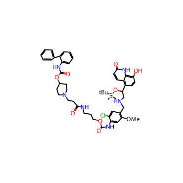 COc1cc(NC(=O)OCCCNC(=O)CCN2CCC(OC(=O)Nc3ccccc3-c3ccccc3)CC2)c(Cl)cc1CNCC(O[Si](C)(C)C(C)(C)C)c1ccc(O)c2[nH]c(=O)ccc12